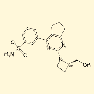 NS(=O)(=O)c1cccc(-c2nc(N3CC[C@@H]3CO)nc3c2CCC3)c1